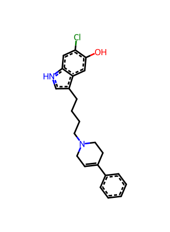 Oc1cc2c(CCCCN3CC=C(c4ccccc4)CC3)c[nH]c2cc1Cl